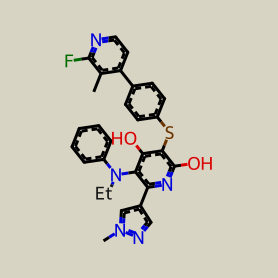 CCN(c1ccccc1)c1c(-c2cnn(C)c2)nc(O)c(Sc2ccc(-c3ccnc(F)c3C)cc2)c1O